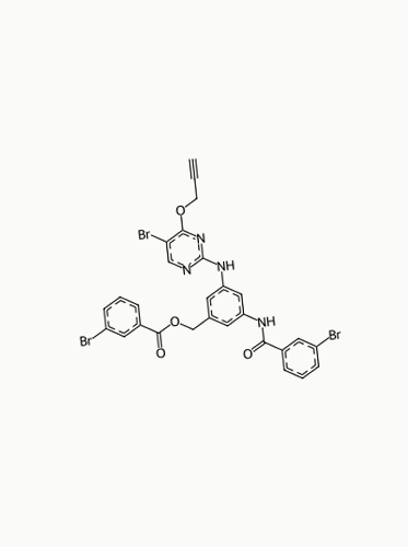 C#CCOc1nc(Nc2cc(COC(=O)c3cccc(Br)c3)cc(NC(=O)c3cccc(Br)c3)c2)ncc1Br